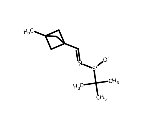 CC12CC(C=N[S+]([O-])C(C)(C)C)(C1)C2